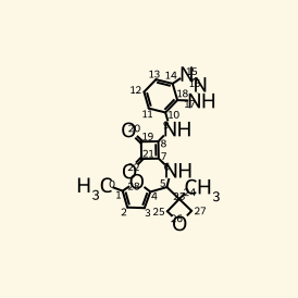 Cc1ccc(C(Nc2c(Nc3cccc4nn[nH]c34)c(=O)c2=O)C2(C)COC2)o1